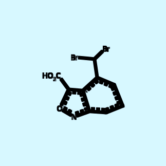 O=C(O)c1onc2cccc(C(Br)Br)c12